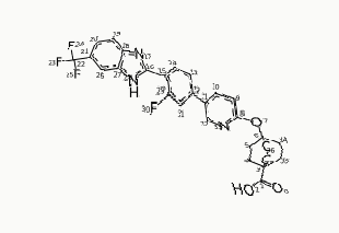 O=C(O)C12CCC(Oc3ccc(-c4ccc(-c5nc6ccc(C(F)(F)F)cc6[nH]5)c(F)c4)cn3)(CC1)CC2